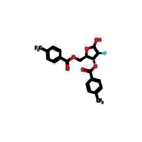 O=C(OC[C@H]1OC(O)[C@@H](F)[C@@H]1OC(=O)c1ccc(C(F)(F)F)cc1)c1ccc(C(F)(F)F)cc1